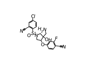 N#Cc1ccc(O[C@H]2CN([S+]([O-])c3ccc(Cl)cc3C#N)CC2(O)CN)cc1F